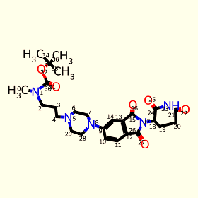 CN(CCCN1CCN(c2ccc3c(c2)C(=O)N(C2CCC(=O)NC2=O)C3=O)CC1)C(=O)OC(C)(C)C